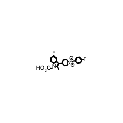 Cc1c(C2CCN(S(=O)(=O)c3ccc(F)cc3)CC2)c2cc(F)ccc2n1CC(=O)O